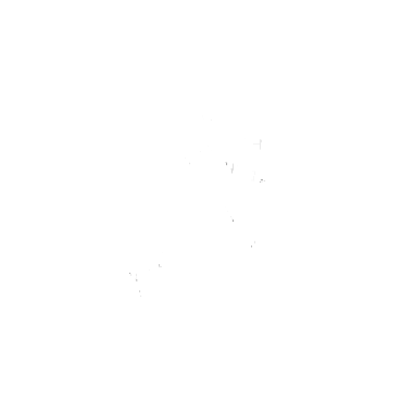 C[N+]1(C)C(=O)OC[C@@H]1C(N)(c1ccc2[nH]ccc2c1)C1CCC1